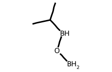 BOBC(C)C